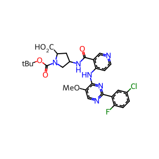 COc1cnc(-c2cc(Cl)ccc2F)nc1Nc1ccncc1C(=O)NC1CC(C(=O)O)N(C(=O)OC(C)(C)C)C1